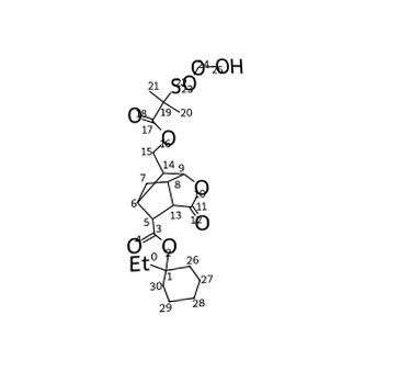 CCC1(OC(=O)C2C3CC4C(OC(=O)C42)C3COC(=O)C(C)(C)SOOO)CCCCC1